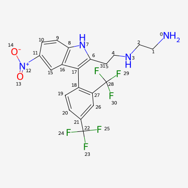 NCCNCCc1[nH]c2ccc([N+](=O)[O-])cc2c1-c1ccc(C(F)(F)F)cc1C(F)(F)F